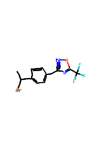 CC(Br)c1ccc(-c2noc(C(F)(F)F)n2)cc1